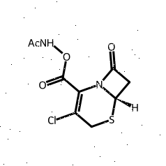 CC(=O)NOC(=O)C1=C(Cl)CS[C@H]2CC(=O)N12